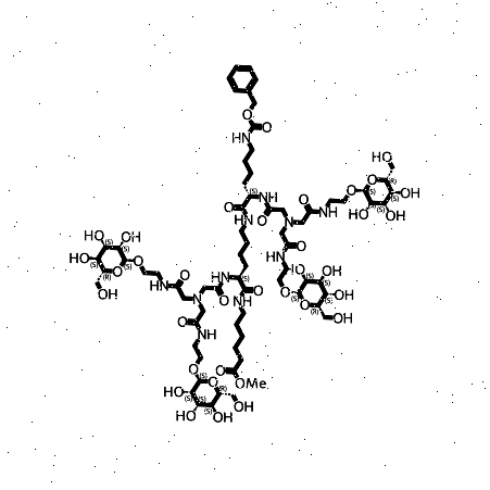 COC(=O)CCCCCNC(=O)[C@H](CCCCNC(=O)[C@H](CCCCNC(=O)OCc1ccccc1)NC(=O)CN(CC(=O)NCCO[C@H]1O[C@H](CO)[C@@H](O)[C@H](O)[C@@H]1O)CC(=O)NCCO[C@H]1O[C@H](CO)[C@@H](O)[C@H](O)[C@@H]1O)NC(=O)CN(CC(=O)NCCO[C@H]1O[C@H](CO)[C@@H](O)[C@H](O)[C@@H]1O)CC(=O)NCCO[C@H]1O[C@H](CO)[C@@H](O)[C@H](O)[C@@H]1O